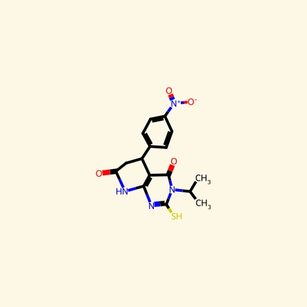 CC(C)n1c(S)nc2c(c1=O)C(c1ccc([N+](=O)[O-])cc1)CC(=O)N2